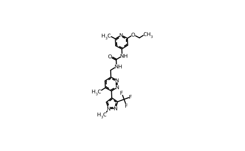 CCOc1cc(NC(=O)NCc2cc(C)c(-c3cn(C)nc3C(F)(F)F)nn2)cc(C)n1